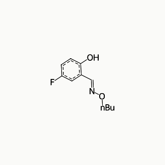 CCCCON=Cc1cc(F)ccc1O